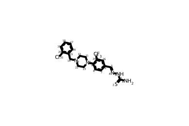 NC(=S)NN=Cc1ccc(N2CCN(Cc3ccccc3Cl)CC2)c(C(F)(F)F)c1